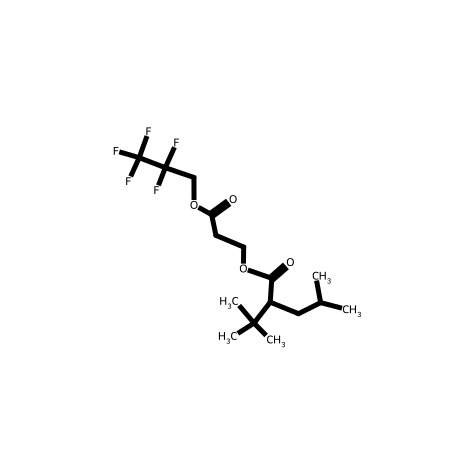 CC(C)CC(C(=O)OCCC(=O)OCC(F)(F)C(F)(F)F)C(C)(C)C